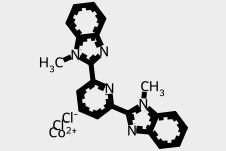 Cn1c(-c2cccc(-c3nc4ccccc4n3C)n2)nc2ccccc21.[Cl-].[Cl-].[Co+2]